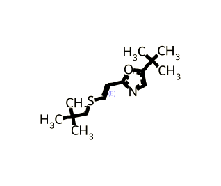 CC(C)(C)CS/C=C/c1ncc(C(C)(C)C)o1